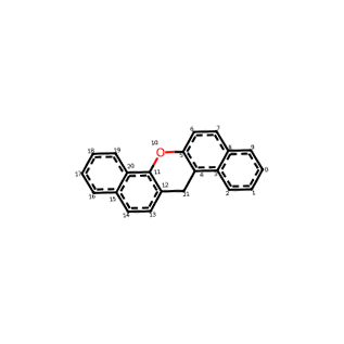 c1ccc2c3c(ccc2c1)Oc1c(ccc2ccccc12)C3